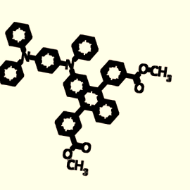 COC(=O)c1cccc(-c2c3ccccc3c(-c3cccc(C(=O)OC)c3)c3cc(N(c4ccccc4)c4ccc(N(c5ccccc5)c5ccccc5)cc4)ccc23)c1